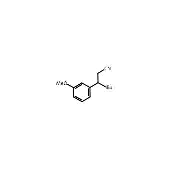 CCC(C)C(CC#N)c1cccc(OC)c1